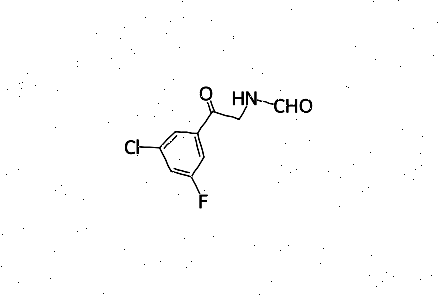 O=CNCC(=O)c1cc(F)cc(Cl)c1